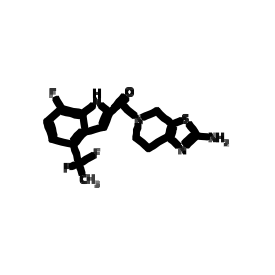 CC(F)(F)c1ccc(F)c2[nH]c(C(=O)N3CCc4nc(N)sc4C3)cc12